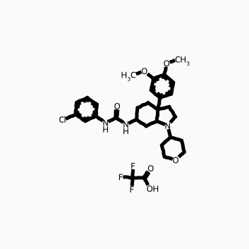 COc1ccc(C23CCC(NC(=O)Nc4cccc(Cl)c4)CC2N(C2CCOCC2)CC3)cc1OC.O=C(O)C(F)(F)F